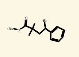 CCCCOC(=O)C(C)(C)CC(CC)c1ccccc1